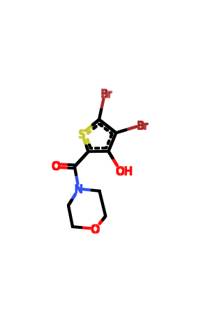 O=C(c1sc(Br)c(Br)c1O)N1CCOCC1